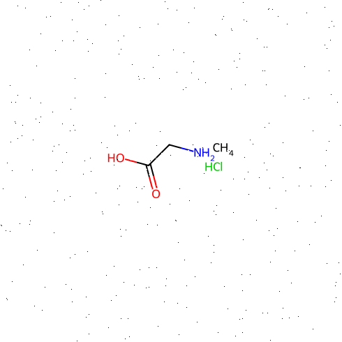 C.Cl.NCC(=O)O